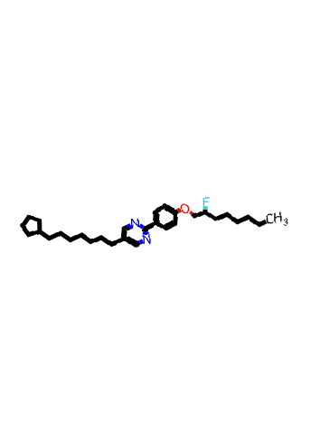 CCCCCCC(F)COc1ccc(-c2ncc(CCCCCCCC3CCCC3)cn2)cc1